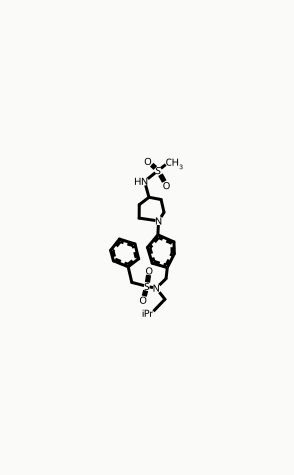 CC(C)CN(Cc1ccc(N2CCC(NS(C)(=O)=O)CC2)cc1)S(=O)(=O)Cc1ccccc1